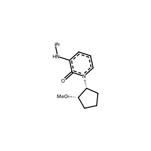 CO[C@H]1CCC[C@H]1n1cccc(NC(C)C)c1=O